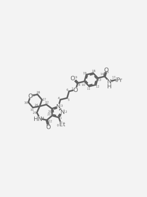 CCc1nn(CCCOC(=O)c2ccc(C(=O)NC(C)C)cc2)c2c1C(=O)NCC1(CCOCC1)C2